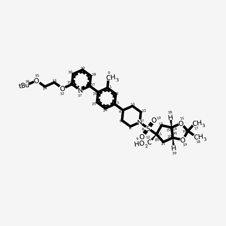 Cc1cc(C2CCN(S(=O)(=O)[C@]3(C(=O)O)C[C@@H]4OC(C)(C)O[C@@H]4C3)CC2)ccc1-c1cccc(OCCOC(C)(C)C)n1